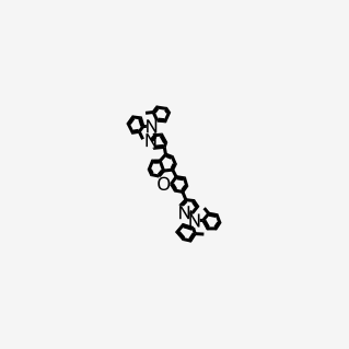 Cc1ccccc1N(c1ccc(-c2ccc3c(c2)Oc2cccc4c(-c5ccc(N(c6ccccc6C)c6ccccc6C)nc5)ccc-3c24)cn1)c1ccccc1C